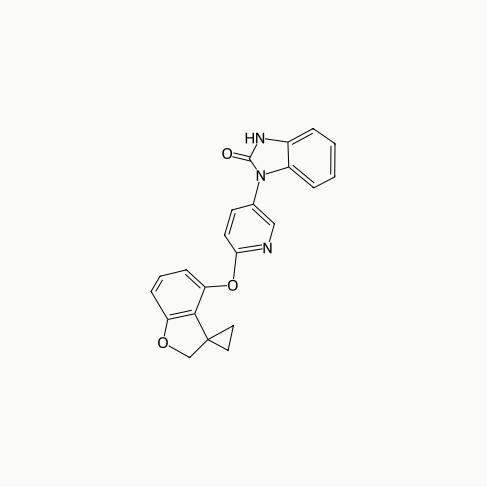 O=c1[nH]c2ccccc2n1-c1ccc(Oc2cccc3c2C2(CC2)CO3)nc1